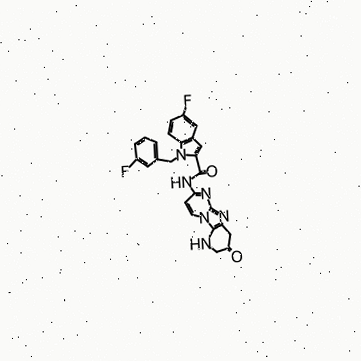 O=C1CNc2c(nc3nc(NC(=O)c4cc5cc(F)ccc5n4Cc4cccc(F)c4)ccn23)C1